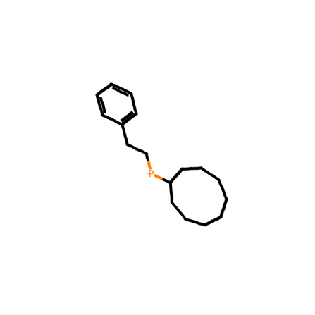 c1ccc(CC[P]C2CCCCCCCC2)cc1